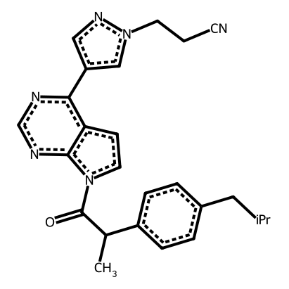 CC(C)Cc1ccc(C(C)C(=O)n2ccc3c(-c4cnn(CCC#N)c4)ncnc32)cc1